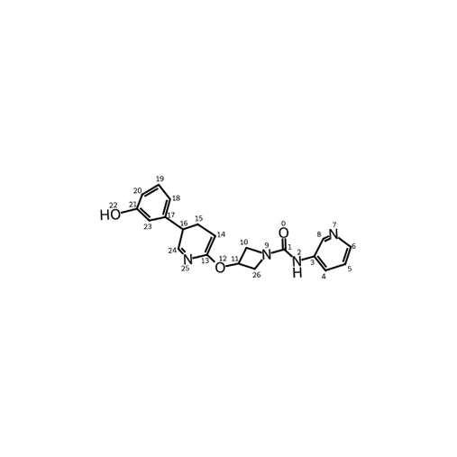 O=C(Nc1cccnc1)N1CC(OC2=CCC(c3cccc(O)c3)C=N2)C1